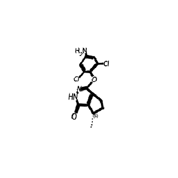 C[C@H]1CCc2c(Oc3c(Cl)cc(N)cc3Cl)n[nH]c(=O)c21